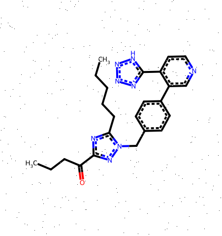 CCCCCc1nc(C(=O)CCC)nn1Cc1ccc(-c2cnccc2-c2nnn[nH]2)cc1